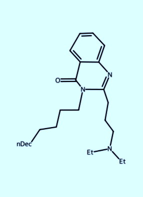 CCCCCCCCCCCCCCn1c(CCCN(CC)CC)nc2ccccc2c1=O